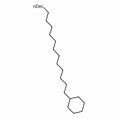 CCCCCCCCCCCCCCCCCCCCCCC1CCCCC1